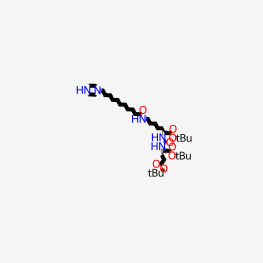 CC(C)(C)OC(=O)CC[C@H](NC(=O)N[C@@H](CCCCCNC(=O)CCCCCCCCCCN1CCNCC1)C(=O)OC(C)(C)C)C(=O)OC(C)(C)C